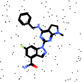 CN1CCc2c(NCc3ccccc3)nc(-n3ncc4c(C(N)=O)cc(F)cc43)nc21